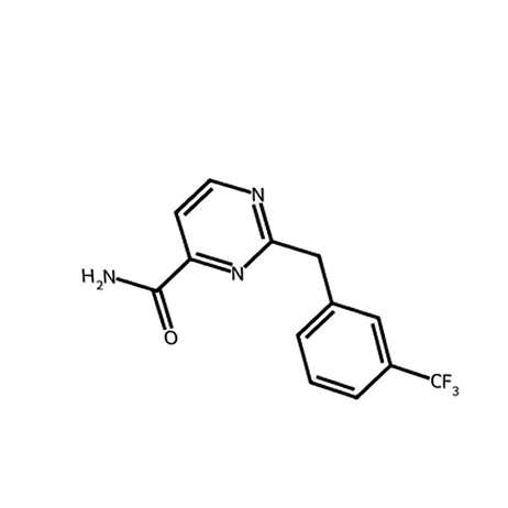 NC(=O)c1ccnc(Cc2cccc(C(F)(F)F)c2)n1